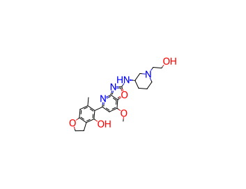 COc1cc(-c2c(C)cc3c(c2O)CCO3)nc2nc(N[C@@H]3CCCN(CCO)C3)oc12